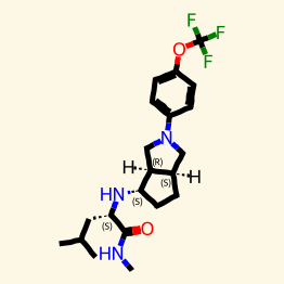 CNC(=O)[C@H](CC(C)C)N[C@H]1CC[C@@H]2CN(c3ccc(OC(F)(F)F)cc3)C[C@@H]21